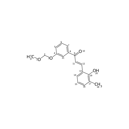 COCOc1cccc(C(=O)C=Cc2cccc(C)c2O)c1